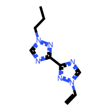 C=Cn1cnc(-c2ncn(CCC)n2)n1